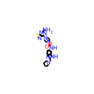 Nc1nc(N2CCN(OC(=O)Nc3ccc4nc(CN5CCCCC5)[nH]c4c3)CC2)c2ncsc2n1